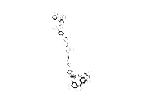 COc1cc(C(CC(=O)O)c2ccc(C)c(CN(C)S(=O)(=O)c3ccc(OCCOCCOCCNC(=O)CN4CCN(c5ccc(Nc6ncc(Cl)c(Nc7ccccc7S(=O)(=O)C(C)C)n6)cc5)CC4)cc3)c2)cc2nnn(C)c12